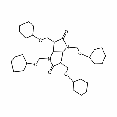 O=C1N(COC2CCCCC2)C2C(N1COC1CCCCC1)N(COC1CCCCC1)C(=O)N2COC1CCCCC1